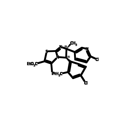 CCOC(=O)C1=C(C(C)C)N2C(=N[C@@](C)(c3ccc(Cl)nc3)[C@H]2c2ccc(Cl)cc2C)S1